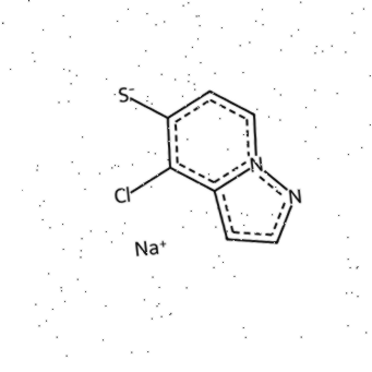 [Na+].[S-]c1ccn2nccc2c1Cl